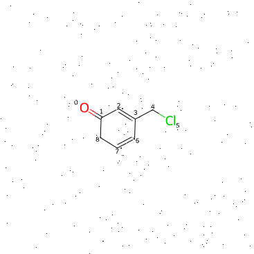 O=C1[C]=C(CCl)C=[C]C1